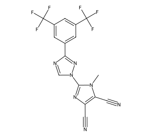 Cn1c(-n2cnc(-c3cc(C(F)(F)F)cc(C(F)(F)F)c3)n2)nc(C#N)c1C#N